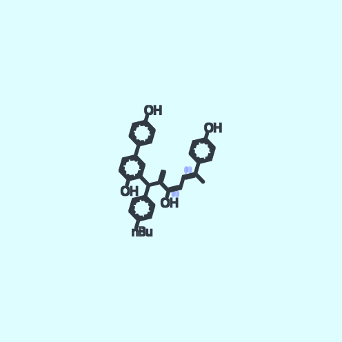 C=C(/C(O)=C\C=C(/C)c1ccc(O)cc1)C(c1ccc(CCCC)cc1)c1cc(-c2ccc(O)cc2)ccc1O